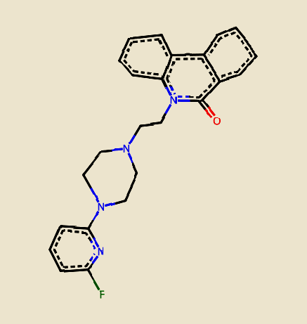 O=c1c2ccccc2c2ccccc2n1CCN1CCN(c2cccc(F)n2)CC1